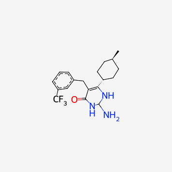 C[C@H]1CC[C@H](C2=C(Cc3cccc(C(F)(F)F)c3)C(=O)NC(N)N2)CC1